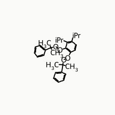 CC(C)c1ccc(OOC(C)(C)c2ccccc2)c(OOC(C)(C)c2ccccc2)c1C(C)C